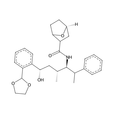 CC(c1ccccc1)[C@H](NC(=O)C1C[C@@H]2CCC1O2)[C@H](C)C[C@H](O)c1ccccc1C1OCCO1